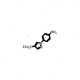 CCOC(=O)c1cnn(-c2ccc([N+](=O)[O-])cc2)c1